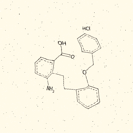 Cl.Nc1cccc(C(=O)O)c1CCc1ccccc1OCc1ccccc1